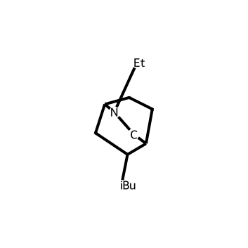 CCC(C)C1CC2CCC1CN2CC